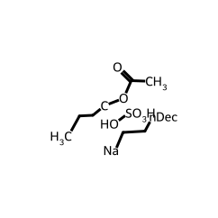 CCCCCCCCCCC[CH2][Na].CCCCOC(C)=O.O=S(=O)(O)O